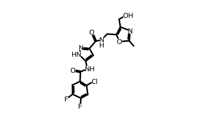 Cc1nc(CO)c(CNC(=O)c2cc(NC(=O)c3cc(F)c(F)cc3Cl)[nH]n2)o1